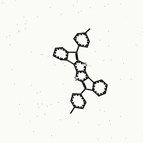 Cc1ccc(C2=c3sc4c5c(sc4c3-c3ccccc32)=C(c2ccc(C)cc2)c2ccccc2-5)cc1